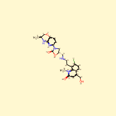 C=C1COc2ccc(N3C[C@H](CNCCc4c(F)ccc5c(CO)cc(=O)n(C)c45)OC3=O)nc2N1